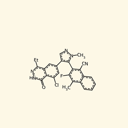 CCc1n[nH]c(=O)c2c(Cl)cc(-c3cnn(C)c3-c3c(F)c(C)c4ccccc4c3C#N)cc12